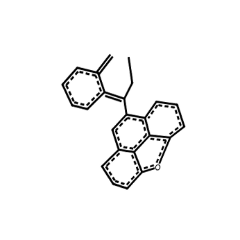 C=c1cccc/c1=C(/CC)c1cc2cccc3oc4cccc1c4c23